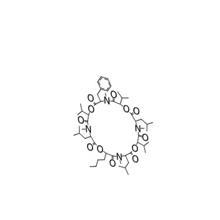 CCCCC1OC(=O)C(CC(C)C)N(C)C(=O)C(C(C)C)OC(=O)C(Cc2ccccc2)N(C)C(=O)C(C(C)C)OC(=O)C(CC(C)C)N(C)C(=O)C(C(C)C)OC(=O)C(CC(C)C)N(C)C1=O